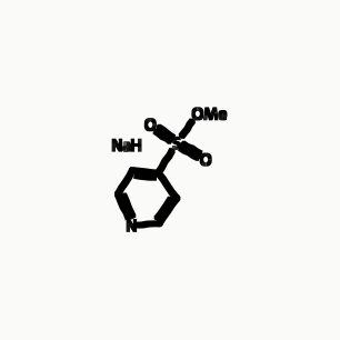 COS(=O)(=O)c1ccncc1.[NaH]